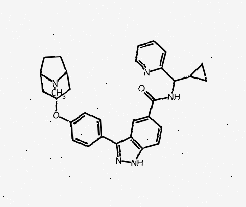 CN1C2CCC1CC(Oc1ccc(-c3n[nH]c4ccc(C(=O)NC(c5ccccn5)C5CC5)cc34)cc1)C2